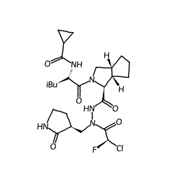 CC[C@H](C)[C@H](NC(=O)C1CC1)C(=O)N1C[C@@H]2CCC[C@@H]2[C@H]1C(=O)NN(C[C@@H]1CCNC1=O)C(=O)[C@H](F)Cl